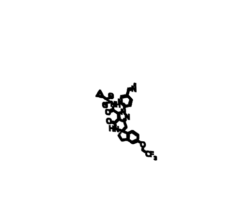 C/N=C/c1ccc(-n2nc3c(c2C(=O)NS(=O)(=O)C2CC2)C(=O)N[C@@]2(CCc4cc(OCC(F)(F)F)ccc42)C3)nc1